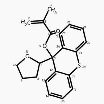 C=C(C)C(=O)OC1(C2CCCO2)c2ccccc2Sc2ccccc21